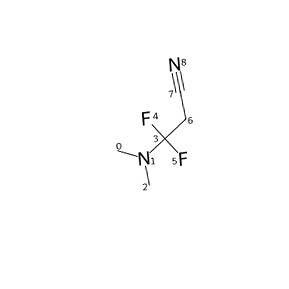 CN(C)C(F)(F)CC#N